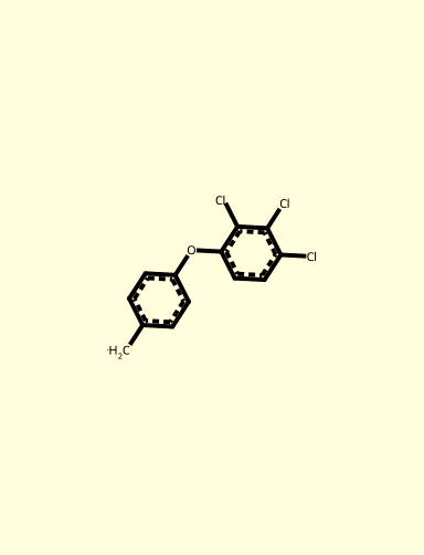 [CH2]c1ccc(Oc2ccc(Cl)c(Cl)c2Cl)cc1